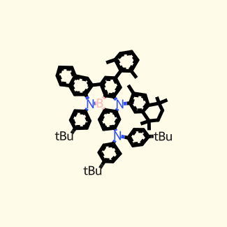 Cc1cc2c(cc1N1c3cc(N(c4ccc(C(C)(C)C)cc4)c4ccc(C(C)(C)C)cc4)ccc3B3c4c(cc(-c5c(C)cccc5C)cc41)-c1cc4ccccc4cc1N3c1ccc(C(C)(C)C)cc1)C(C)(C)CCC2(C)C